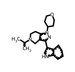 C=C(C)N1CCc2c(c(-c3c[nH]c4ccccc34)nn2C2CCOCC2)C1